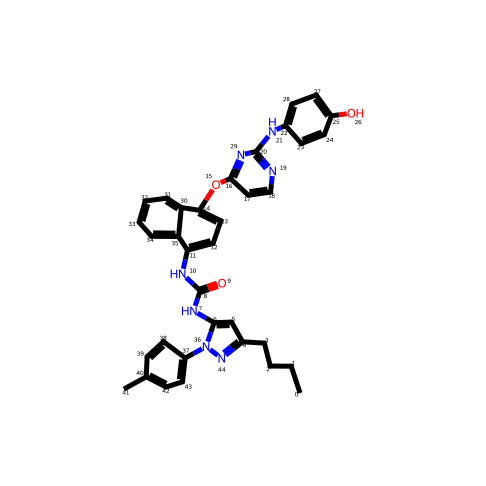 CCCCc1cc(NC(=O)Nc2ccc(Oc3ccnc(Nc4ccc(O)cc4)n3)c3ccccc23)n(-c2ccc(C)cc2)n1